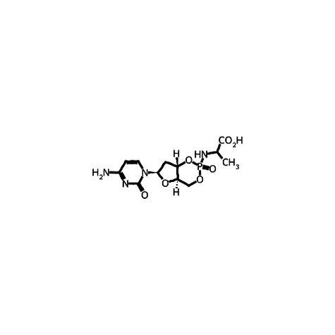 CC(NP1(=O)OC[C@H]2O[C@@H](n3ccc(N)nc3=O)C[C@@H]2O1)C(=O)O